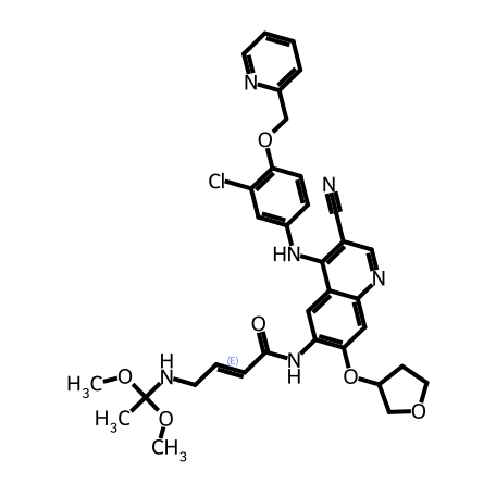 COC(C)(NC/C=C/C(=O)Nc1cc2c(Nc3ccc(OCc4ccccn4)c(Cl)c3)c(C#N)cnc2cc1OC1CCOC1)OC